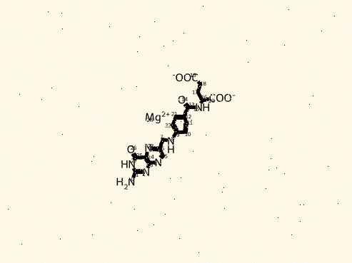 Nc1nc2ncc(CNc3ccc(C(=O)NC(CCC(=O)[O-])C(=O)[O-])cc3)nc2c(=O)[nH]1.[Mg+2]